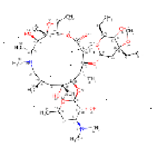 CC[C@@H]1O[C@@H](O[C@H]2[C@H](C)[C@@H](O[C@@H]3O[C@H](C)C[C@H](N(C)C)[C@H]3O)[C@](C)(O)C[C@@H](C)CN(C)[C@H](C)[C@@H](O)[C@](C)(O)[C@@H](CC)OC(=O)[C@@H]2C)C[C@@](CC)(OC)[C@H]1O